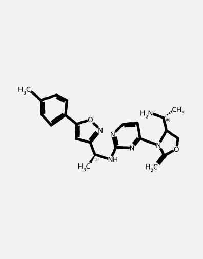 C=C1OCC([C@@H](C)N)N1c1ccnc(N[C@@H](C)c2cc(-c3ccc(C)cc3)on2)n1